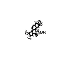 COc1cc2c(=O)n(CCO)c3c4cc5c(cc4ccc3c2cc1OC)OCO5